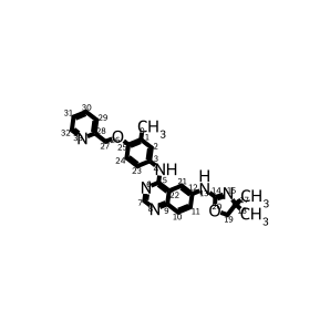 Cc1cc(Nc2ncnc3ccc(NC4=NC(C)(C)CO4)cc23)ccc1OCc1ccccn1